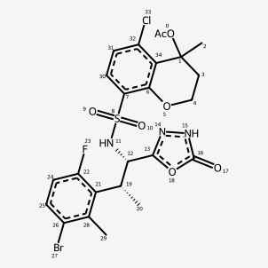 CC(=O)OC1(C)CCOc2c(S(=O)(=O)N[C@H](c3n[nH]c(=O)o3)[C@H](C)c3c(F)ccc(Br)c3C)ccc(Cl)c21